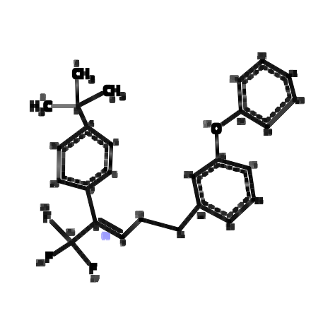 CC(C)(C)c1ccc(/C(=C\CCc2cccc(Oc3ccccc3)c2)C(F)(F)F)cc1